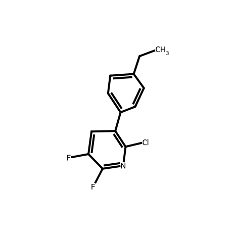 CCc1ccc(-c2cc(F)c(F)nc2Cl)cc1